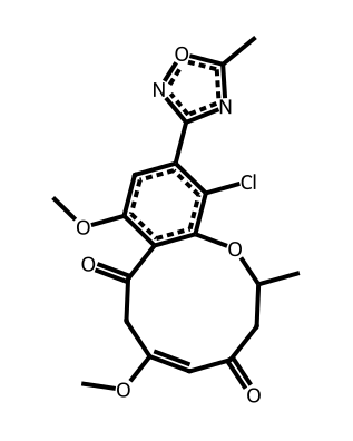 CO/C1=C/C(=O)CC(C)Oc2c(Cl)c(-c3noc(C)n3)cc(OC)c2C(=O)C1